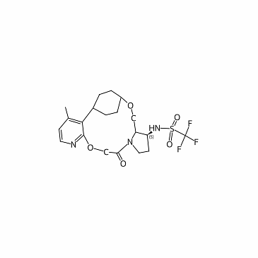 Cc1ccnc2c1C1CCC(CC1)OCC1[C@@H](NS(=O)(=O)C(F)(F)F)CCN1C(=O)CO2